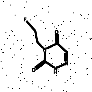 O=c1cn[nH]c(=O)n1CCF